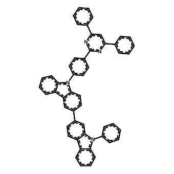 c1ccc(-c2cc(-c3ccccc3)nc(-c3ccc(-n4c5ccccc5c5cc(-c6ccc7c8ccccc8n(-c8ccccc8)c7c6)ccc54)cc3)n2)cc1